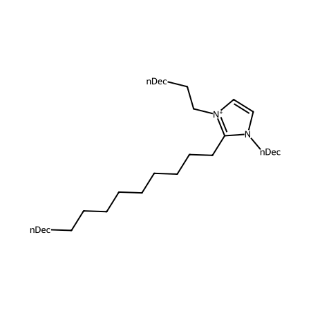 CCCCCCCCCCCCCCCCCCCc1n(CCCCCCCCCC)cc[n+]1CCCCCCCCCCCC